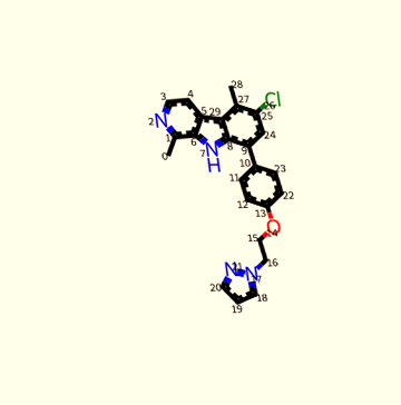 Cc1nccc2c1[nH]c1c(-c3ccc(OCCn4cccn4)cc3)cc(Cl)c(C)c12